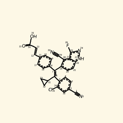 N#Cc1ccc(C(=C(c2ccc(C=CC(=O)O)cc2)c2ccc3[nH]nc(F)c3c2C#N)C2CC2)c(Cl)c1